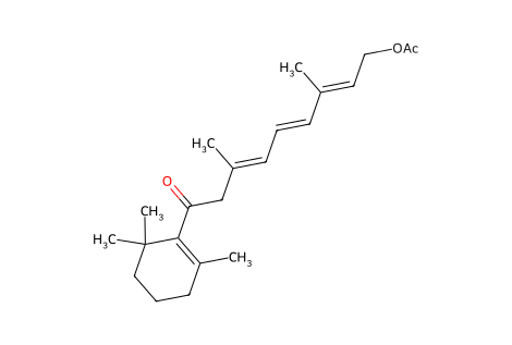 CC(=O)OC/C=C(C)/C=C/C=C(\C)CC(=O)C1=C(C)CCCC1(C)C